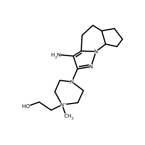 C[N+]1(CCO)CCN(c2nn3c(c2N)CCC2CCCC23)CC1